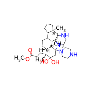 COC(=O)CCC1(C)[C@@H]2CCC3C4CCC[C@@]4(C)CCC3[C@@]2(C)C(N2CCNCC2)(N2CCNCC2)CC1(O)O